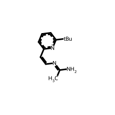 C/C(N)=N\C=C/c1cccc(C(C)(C)C)n1